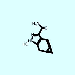 Cl.NC(=O)c1n[nH]c2c1C=C1C=C1C2